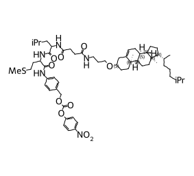 CSCCC(NC(=O)C(CC(C)C)NC(=O)CCC(=O)NCCCO[C@H]1CC[C@@]2(C)C(=CC[C@H]3[C@@H]4CC[C@H](C(C)CCCC(C)C)[C@@]4(C)CC[C@@H]32)C1)C(=O)Nc1ccc(COC(=O)Oc2ccc([N+](=O)[O-])cc2)cc1